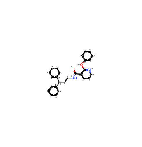 O=C(NCCC(c1ccccc1)c1ccccc1)c1cccnc1Oc1ccccc1